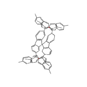 Cc1ccc(N(C2=CCC(C)C=C2)c2ccc3c(c2)C2(C4=CC(N(c5ccc(C)cc5)c5ccc(C)cc5)CC=C4C4=C2CC(N(c2ccc(C)cc2)c2ccc(C)cc2)C=C4)c2cc(N(c4ccc(C)cc4)c4ccc(C)cc4)ccc2-3)cc1